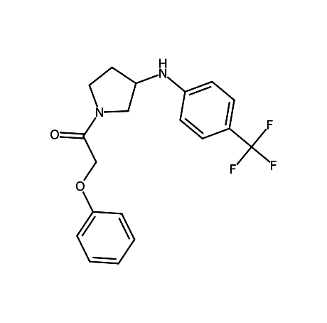 O=C(COc1ccccc1)N1CCC(Nc2ccc(C(F)(F)F)cc2)C1